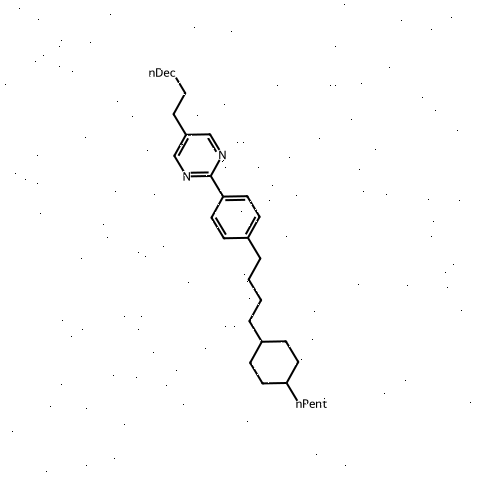 CCCCCCCCCCCCc1cnc(-c2ccc(CCCCC3CCC(CCCCC)CC3)cc2)nc1